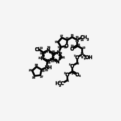 CCOC(=O)OCOP(O)CC(=O)N(C)CC1CCC(n2cnc3c(NC4CCCC4)nc(Cl)nc32)O1